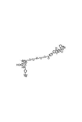 COc1cc(N2CCN(C(=O)CCOCCOCCOCCOCCOCCC(=O)NC(C(=O)N3C[C@H](O)C[C@H]3C(=O)NCc3ccc(-c4scnc4C)cc3)C(C)(C)C)CC2)ccc1Nc1ncc(Cl)c(Nc2ccccc2P(C)(C)=O)n1